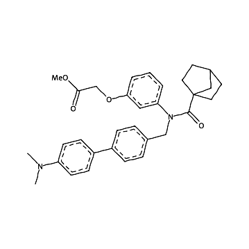 COC(=O)COc1cccc(N(Cc2ccc(-c3ccc(N(C)C)cc3)cc2)C(=O)C23CCC(CC2)C3)c1